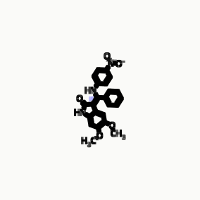 COc1cc2c(cc1OC)/C(=C(/Nc1ccc([N+](=O)[O-])cc1)c1ccccc1)C(=O)N2